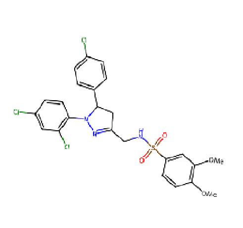 COc1ccc(S(=O)(=O)NCC2=NN(c3ccc(Cl)cc3Cl)C(c3ccc(Cl)cc3)C2)cc1OC